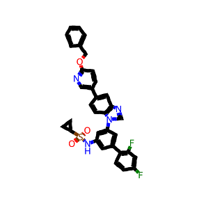 O=S(=O)(Nc1cc(-c2ccc(F)cc2F)cc(-n2cnc3cc(-c4ccc(OCc5ccccc5)nc4)ccc32)c1)C1CC1